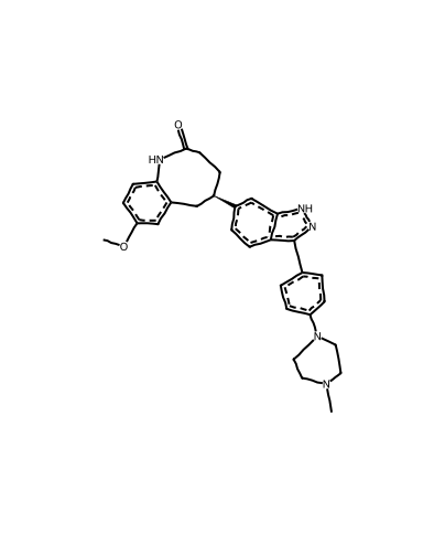 COc1ccc2c(c1)C[C@H](c1ccc3c(-c4ccc(N5CCN(C)CC5)cc4)n[nH]c3c1)CCC(=O)N2